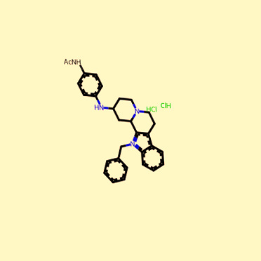 CC(=O)Nc1ccc(NC2CCN3CCc4c(n(Cc5ccccc5)c5ccccc45)C3C2)cc1.Cl.Cl